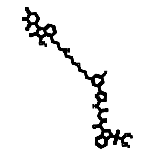 CC(C)S(=O)(=O)n1cc(C(=O)NCC(=O)Nc2nc(-c3cc(F)cc(CCCOCCCNCCCc4cccc5c4n(C)c(=O)n5C4CCC(=O)NC4=O)c3)cs2)c2ccccc21